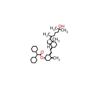 C=C1CC[C@H](OC(=O)C(C2CCCCC2)C2CCCCC2)CC1=CC=C1CCC[C@@]2(C)[C@@H]1CC[C@@H]2[C@H](C)CCCC(C)(C)O